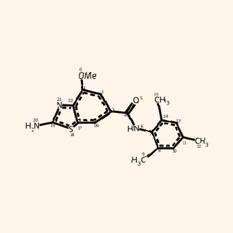 COc1cc(C(=O)Nc2c(C)cc(C)cc2C)cc2sc(N)nc12